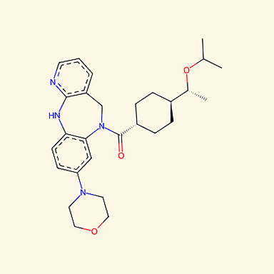 CC(C)O[C@H](C)[C@H]1CC[C@H](C(=O)N2Cc3cccnc3Nc3ccc(N4CCOCC4)cc32)CC1